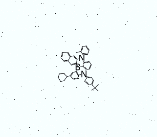 Cc1ccccc1N1c2cc3ccccc3cc2B2c3cc(C4CCCCC4)ccc3N(c3ccc(C(C)(C)C)cc3)c3cccc1c32